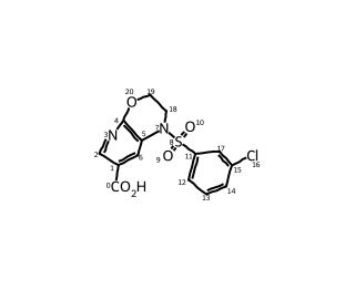 O=C(O)c1cnc2c(c1)N(S(=O)(=O)c1cccc(Cl)c1)CCO2